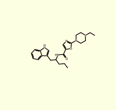 CCCC(Cc1c[nH]c2ccccc12)NC(=O)c1cnc(N2CCN(CC)CC2)o1